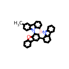 Cc1ccc2c(c1)c1cccc3c1n2-c1c2c(cc4c1oc1ccccc14)-c1cccc4c5ccccc5n(c14)B23